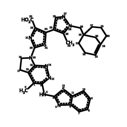 Cc1c(Nc2nc3ccccc3s2)nnc2c1CCN2c1nc(C(=O)O)c(-c2cnn(CC34CCC=C(CCC3)C4)c2C)s1